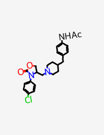 CC(=O)Nc1ccc(CC2CCN(CC3COC(=O)N3c3ccc(Cl)cc3)CC2)cc1